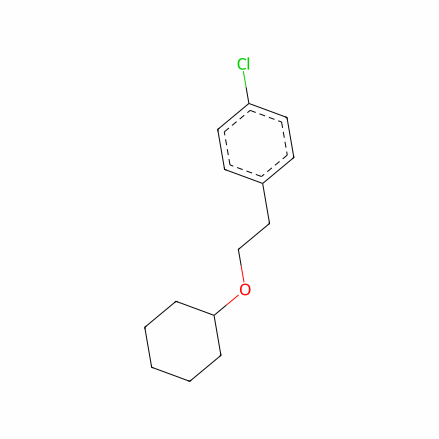 Clc1ccc(CCOC2CCCCC2)cc1